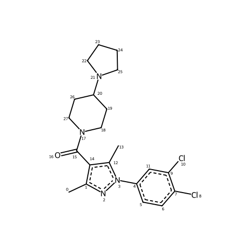 Cc1nn(-c2ccc(Cl)c(Cl)c2)c(C)c1C(=O)N1CCC(N2CCCC2)CC1